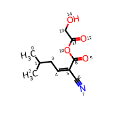 CC(C)CC=C(C#N)C(=O)OC(=O)CO